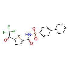 O=C(NS(=O)(=O)c1ccc(-c2ccccc2)cc1)c1ccc(C(=O)C(F)(F)F)s1